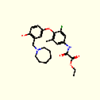 CCOC(=O)C(=O)Nc1cc(C)c(Oc2ccc(O)c(CN3CCCCCC3)c2)c(Cl)c1